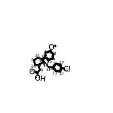 COc1ccc2c(c1)c1c(n2Cc2ccc(Cl)cc2)C(CC(=O)O)CCC1